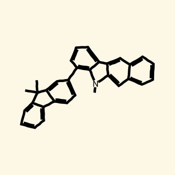 Cn1c2cc3ccccc3cc2c2cccc(-c3ccc4c(c3)C(C)(C)c3ccccc3-4)c21